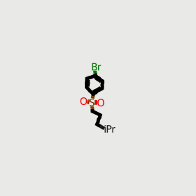 CC(C)CCCS(=O)(=O)c1ccc(Br)cc1